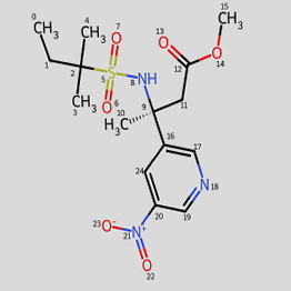 CCC(C)(C)S(=O)(=O)N[C@@](C)(CC(=O)OC)c1cncc([N+](=O)[O-])c1